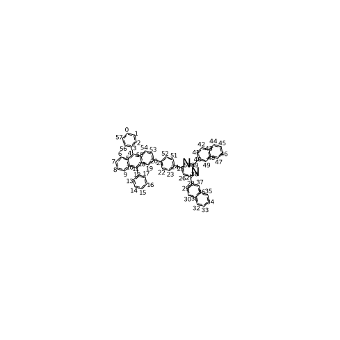 c1ccc(-c2c3ccccc3c(-c3ccccc3)c3cc(-c4ccc(-c5cc(-c6ccc7ccccc7c6)nc(-c6ccc7ccccc7c6)n5)cc4)ccc23)cc1